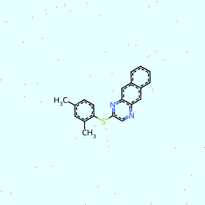 Cc1ccc(Sc2cnc3cc4ccccc4cc3n2)c(C)c1